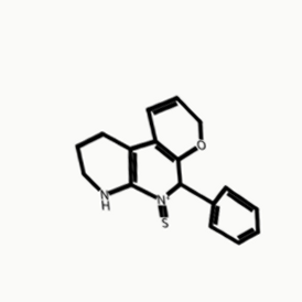 S=[N+]1C2=C(CCCN2)C2=C(OCC=C2)C1c1ccccc1